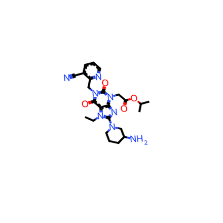 CCn1c(N2CCCC(N)C2)nc2c1c(=O)n(Cc1ncccc1C#N)c(=O)n2CC(=O)OC(C)C